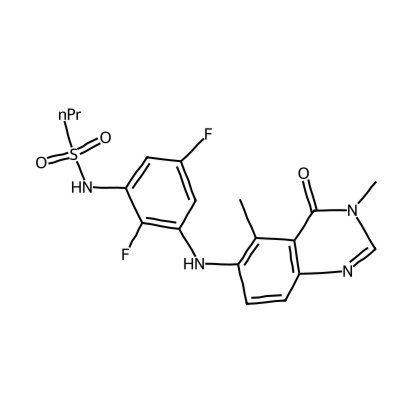 CCCS(=O)(=O)Nc1cc(F)cc(Nc2ccc3ncn(C)c(=O)c3c2C)c1F